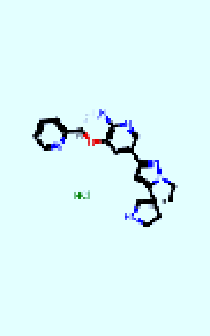 C[C@H](Oc1cc(-c2cc3n(n2)CC[C@@]32CCNC2)cnc1N)c1ccccn1.Cl